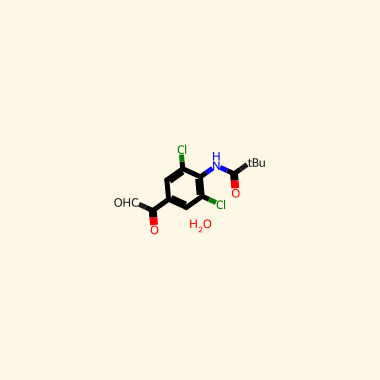 CC(C)(C)C(=O)Nc1c(Cl)cc(C(=O)C=O)cc1Cl.O